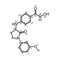 COc1cccc(N2CCC(Nc3ccc(C(=O)NO)cc3)C2=O)c1